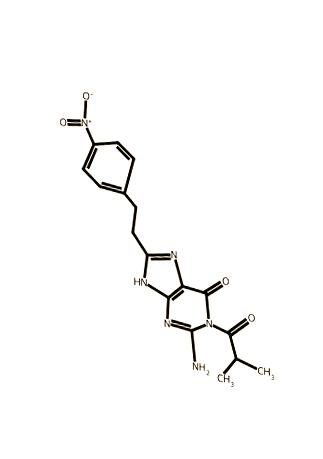 CC(C)C(=O)n1c(N)nc2[nH]c(CCc3ccc([N+](=O)[O-])cc3)nc2c1=O